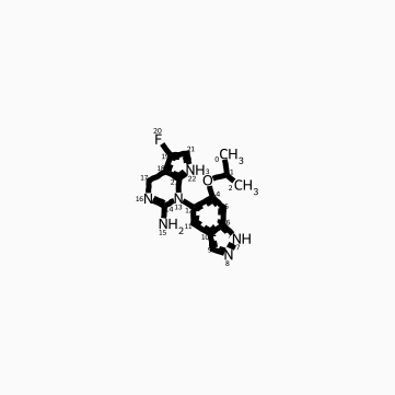 CC(C)Oc1cc2[nH]ncc2cc1N1C(N)=NCc2c(F)c[nH]c21